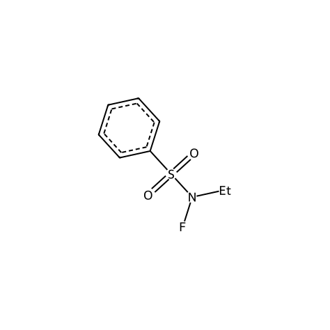 CCN(F)S(=O)(=O)c1ccccc1